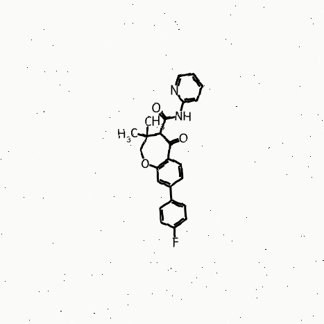 CC1(C)COc2cc(-c3ccc(F)cc3)ccc2C(=O)C1C(=O)Nc1ccccn1